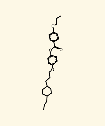 CCCOc1ccc(C(=O)Oc2ccc(OCCCC3CCC(CCC)CC3)cc2)cc1